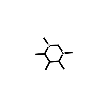 CC1C(C)N(C)CN(C)C1C